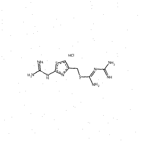 Cl.N=C(N)N=C(N)SCc1csc(NC(=N)N)n1